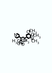 COc1cc(C(=O)CC(c2ccncc2)C(C)(C)[N+](=O)[O-])cc(OC)c1OC